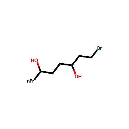 CCCC(O)CCC(O)CCBr